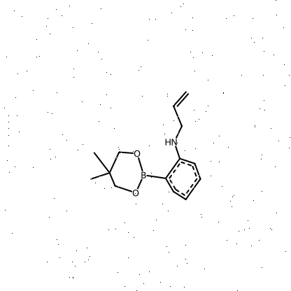 C=CCNc1ccccc1B1OCC(C)(C)CO1